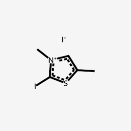 Cc1c[n+](C)c(I)s1.[I-]